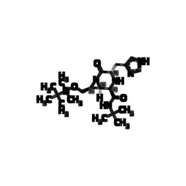 CC(C)(C)NC(=O)[C@@H]1N[C@@H](Cc2c[nH]cn2)C(=O)N2[C@@H]1[C@H]2CO[Si](C)(C)C(C)(C)C